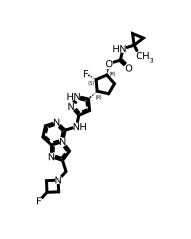 CC1(NC(=O)O[C@@H]2CC[C@H](c3cc(Nc4nccc5nc(CN6CC(F)C6)cn45)n[nH]3)[C@@H]2F)CC1